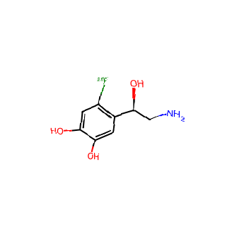 NC[C@H](O)c1cc(O)c(O)cc1[18F]